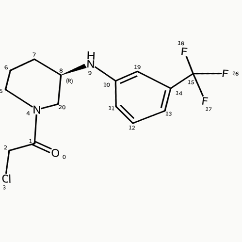 O=C(CCl)N1CCC[C@@H](Nc2cccc(C(F)(F)F)c2)C1